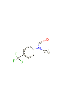 CN([C]=O)c1ccc(C(F)(F)F)cc1